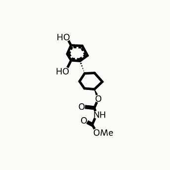 COC(=O)NC(=O)O[C@H]1CC[C@H](c2ccc(O)cc2O)CC1